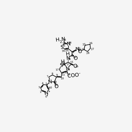 C[n+]1cccc(N2CCC(=CC3=C(C(=O)[O-])N4C(=O)[C@@H](NC(=O)/C(=N\OC5CCCC5)c5csc(N)n5)[C@H]4SC3)C2=O)c1